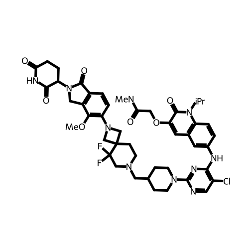 CNC(=O)COc1cc2cc(Nc3nc(N4CCC(CN5CCC6(CN(c7ccc8c(c7OC)CN(C7CCC(=O)NC7=O)C8=O)C6)C(F)(F)C5)CC4)ncc3Cl)ccc2n(C(C)C)c1=O